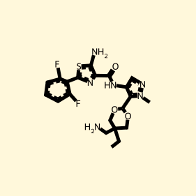 CCC1(CN)COC(c2c(NC(=O)c3nc(-c4c(F)cccc4F)sc3N)cnn2C)OC1